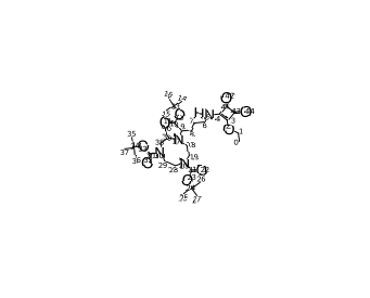 CCOc1c(NCCCC(C(=O)OC(C)(C)C)N2CCN(C(=O)OC(C)(C)C)CCN(C(=O)OC(C)(C)C)CC2C)c(=O)c1=O